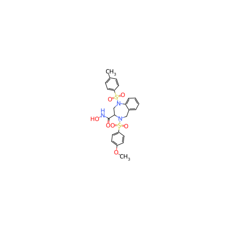 COc1ccc(S(=O)(=O)N2Cc3ccccc3N(S(=O)(=O)c3ccc(C)cc3)CC2C(=O)NO)cc1